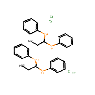 [Cl-].[Cl-].[Cl-].[Cl-].[Ni+2][CH2]C(Pc1ccccc1)Pc1ccccc1.[Ni+2][CH2]C(Pc1ccccc1)Pc1ccccc1